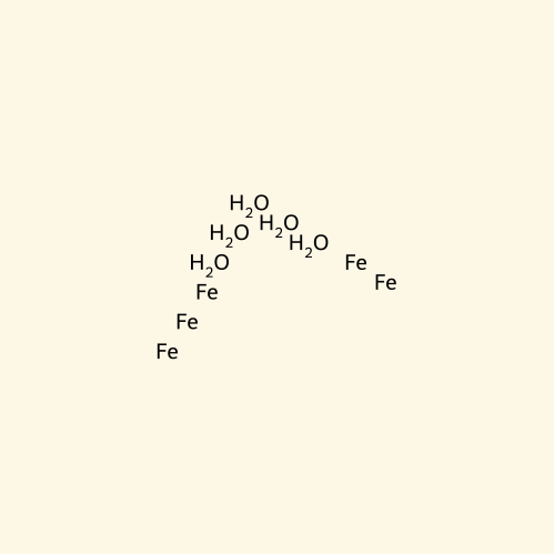 O.O.O.O.O.[Fe].[Fe].[Fe].[Fe].[Fe]